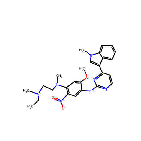 CCN(C)CCN(C)c1cc(OC)c(Nc2nccc(-c3cn(C)c4ccccc34)n2)cc1[N+](=O)[O-]